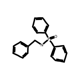 O=P([N]Cc1ccccc1)(c1ccccc1)c1ccccc1